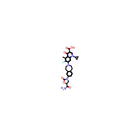 Cc1c(F)c(N2CCc3ccc(N4CC(C(N)=O)OC4=O)cc3CC2)cc2c1c(=O)c(C(=O)O)cn2C1CC1